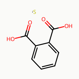 O=C(O)c1ccccc1C(=O)O.[S]